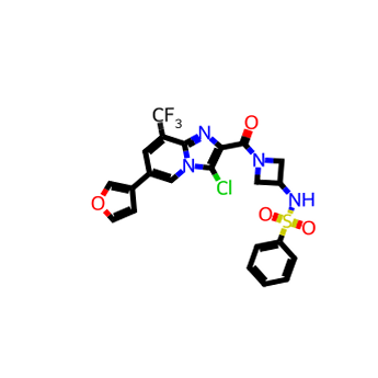 O=C(c1nc2c(C(F)(F)F)cc(-c3ccoc3)cn2c1Cl)N1CC(NS(=O)(=O)c2ccccc2)C1